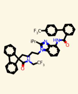 CC(C)c1nc2c(NC(=O)c3ccccc3-c3ccc(C(F)(F)F)cc3)cccc2n1CCCCC1(C(=O)NCC(F)(F)F)c2ccccc2-c2ccccc21